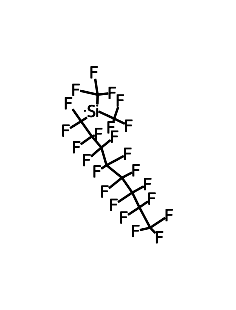 FC(F)(F)[Si](C(F)(F)F)C(F)(F)C(F)(F)C(F)(F)C(F)(F)C(F)(F)C(F)(F)C(F)(F)C(F)(F)F